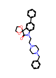 O=C1N(CCN2CCN(Cc3ccccc3)CC2)c2ccc(-c3ccccc3)cc2C12OCCO2